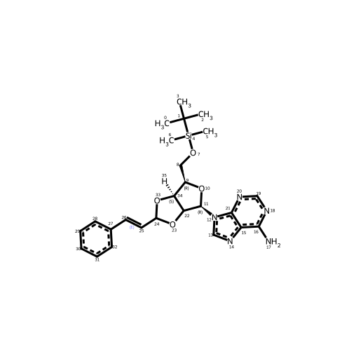 CC(C)(C)[Si](C)(C)OC[C@H]1O[C@@H](n2cnc3c(N)ncnc32)C2OC(/C=C/c3ccccc3)O[C@H]21